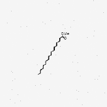 CC=CCCC=CCCC=CCCC=CCCC(=O)OC